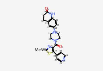 CNc1nc(C(=O)N2CCN(c3ccc4c(c3)CCC(=O)N4)CC2)c(-c2ccncc2)s1